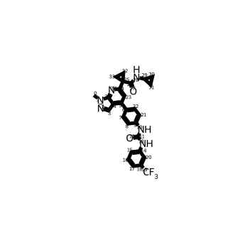 Cn1ncc2c(-c3ccc(NC(=O)Nc4cccc(C(F)(F)F)c4)cc3)cc(C3(C(=O)NC4CC4)CC3)nc21